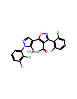 CCOC(=O)c1c(-c2onc(-c3c(F)cccc3Cl)c2C(=O)OC)cnn1-c1cccc(Cl)c1Cl